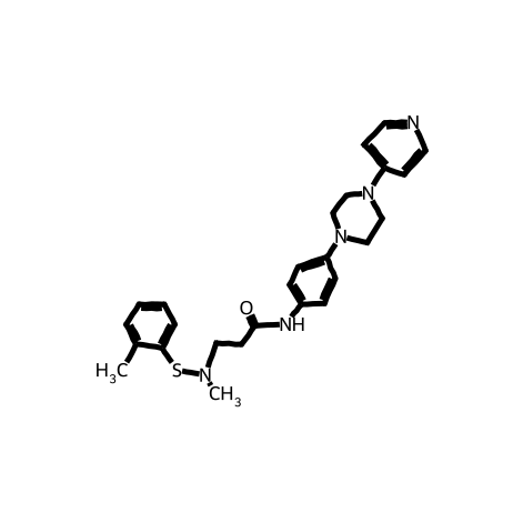 Cc1ccccc1SN(C)CCC(=O)Nc1ccc(N2CCN(c3ccncc3)CC2)cc1